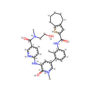 Cc1c(NC(=O)c2cc3c(s2)CCCCC3)cccc1-c1cc(Nc2ccc(C(=O)N(C)CCO)cn2)c(=O)n(C)c1